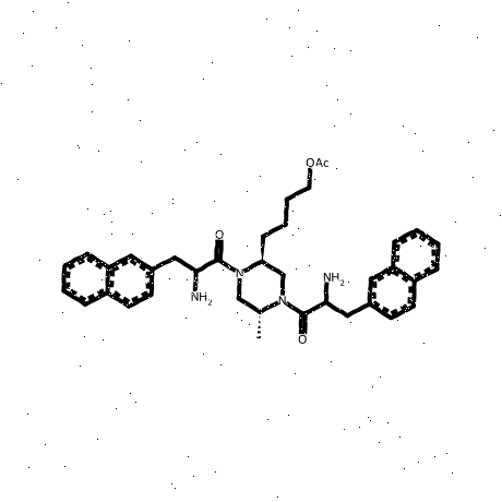 CC(=O)OCCCC[C@H]1CN(C(=O)C(N)Cc2ccc3ccccc3c2)[C@H](C)CN1C(=O)C(N)Cc1ccc2ccccc2c1